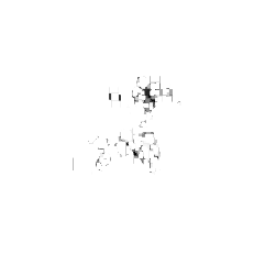 COc1ccccc1C1CCN(c2nc(C3CC3)nc3ccc(CCCO[Si](C)(C)C(C)(C)C)c(Cl)c23)CC1